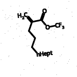 C=C(CCCCCCCCCC)C(=O)OC(F)(F)F